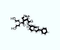 Cn1ncc(C(=O)N(CCO)CCO)c1C(=O)Nc1ccn2cc(-c3ccccc3)nc2c1